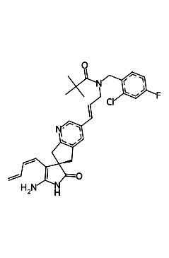 C=C/C=C\C1=C(N)NC(=O)[C@]12Cc1cc(/C=C/CN(Cc3ccc(F)cc3Cl)C(=O)C(C)(C)C)cnc1C2